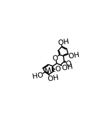 COC1(O)C(=O)c2c(O)cc(O)cc2OC1c1ccc(O)c(O)c1